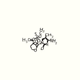 CC[C@]12CCOC(C1OP(O)(=S)OC)[C@H](n1cc(C)c(N)nc1=O)O2